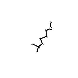 [CH2]OCCCCC(C)C